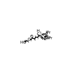 CC(CCCC(=O)COCCO)N1CN2CN(C(C)C)C23CN(C(C)C)P3C1